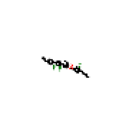 CCCCCc1ccc(COc2ccc(-c3ccc(-c4ccc(CCC)cc4)c(F)c3F)cc2)cc1F